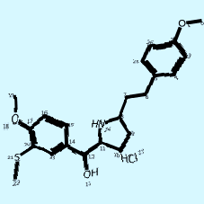 COc1ccc(CCC2CCC(C(O)c3ccc(OC)c(SC)c3)N2)cc1.Cl